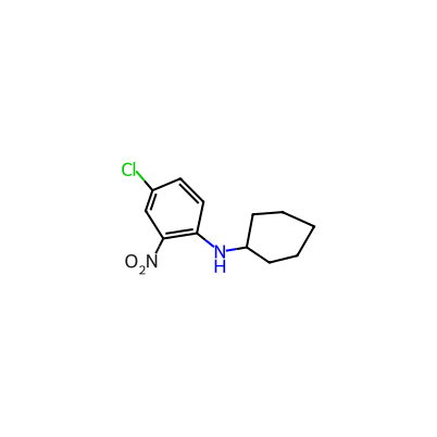 O=[N+]([O-])c1cc(Cl)ccc1NC1CCCCC1